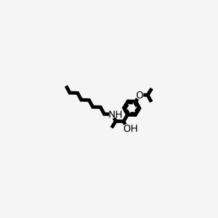 CCCCCCCCNC(C)C(O)c1ccc(OC(C)C)cc1